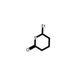 CCC1CCCC(=O)S1